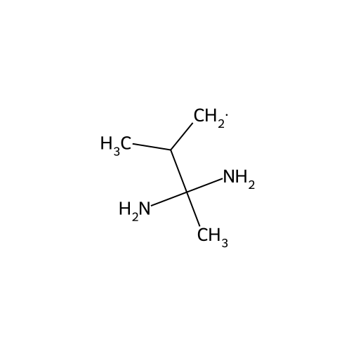 [CH2]C(C)C(C)(N)N